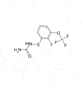 NC(=O)NSc1cccc(OC(F)(F)F)c1F